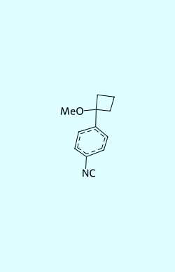 [C-]#[N+]c1ccc(C2(OC)CCC2)cc1